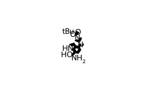 CN(c1ccc(C(N)O)c2[nH]ccc12)C1CN(C(=O)OC(C)(C)C)C1